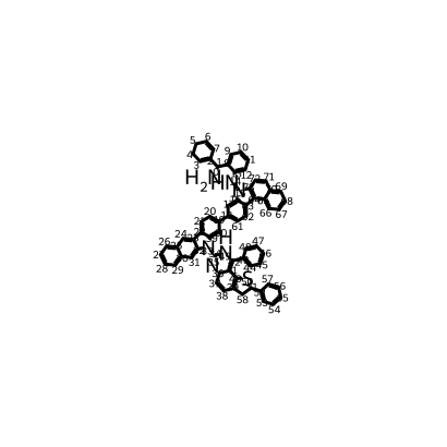 NC(C1=CCCC=C1)c1ccccc1Nn1c2cc(-c3ccc4c5cc6ccccc6cc5n(C5N=c6ccc7c(c6=C(c6ccccc6)N5)SC(c5ccccc5)C7)c4c3)ccc2c2c3ccccc3ccc21